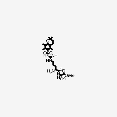 CCC[C@@H](NC(=O)[C@@H](N)CCCNC(=N)NS(=O)(=O)c1c(C)c(C)c2c(c1C)CCC(C)(C)O2)C(=O)OC